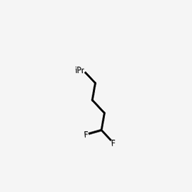 CC(C)CCCC(F)F